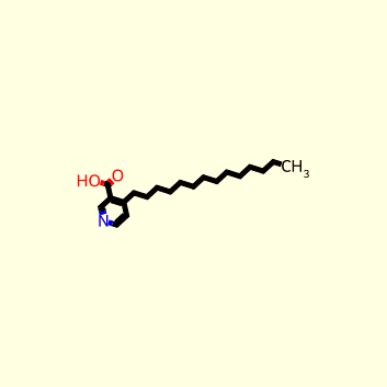 CCCCCCCCCCCCCCc1ccncc1C(=O)O